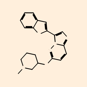 CN1CCCC(Oc2ccc3ncc(-c4cc5ccccc5o4)n3n2)C1